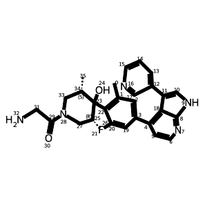 Cc1cc(-c2ccnc3[nH]cc(-c4cccnc4)c23)cc(F)c1C1(O)[C@H](C)CN(C(=O)CN)C[C@@H]1C